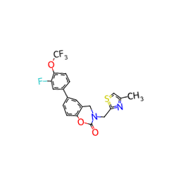 Cc1csc(CN2Cc3cc(-c4ccc(OC(F)(F)F)c(F)c4)ccc3OC2=O)n1